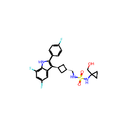 O=S(=O)(NC[C@H]1C[C@H](c2c(-c3ccc(F)cc3)[nH]c3c(F)cc(F)cc32)C1)NC1(CO)CC1